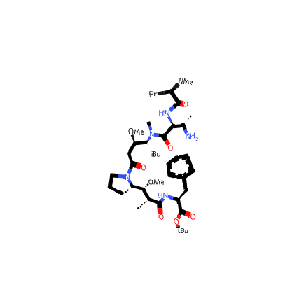 CC[C@H](C)[C@@H]([C@@H](CC(=O)N1CCC[C@H]1[C@H](OC)[C@@H](C)C(=O)N[C@@H](Cc1ccccc1)C(=O)OC(C)(C)C)OC)N(C)C(=O)[C@@H](NC(=O)C(NC)C(C)C)[C@H](C)N